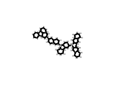 c1ccc2c(c1)-c1cccc3cc(-c4ccc5cc(-n6c7ccccc7c7cc(-n8c9cc%10ccccc%10cc9c9cc%10ccccc%10cc98)ccc76)ccc5c4)cc-2c13